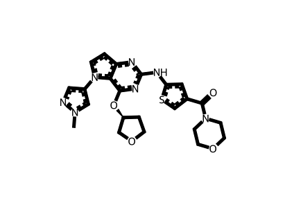 Cn1cc(-n2ccc3nc(Nc4cc(C(=O)N5CCOCC5)cs4)nc(O[C@H]4CCOC4)c32)cn1